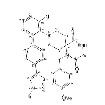 COc1ccc(CN2C(=O)CNC(=O)C23CCN(c2c(Cl)cncc2-c2ccc(-c4cnn(C)c4)cc2)CC3)cc1